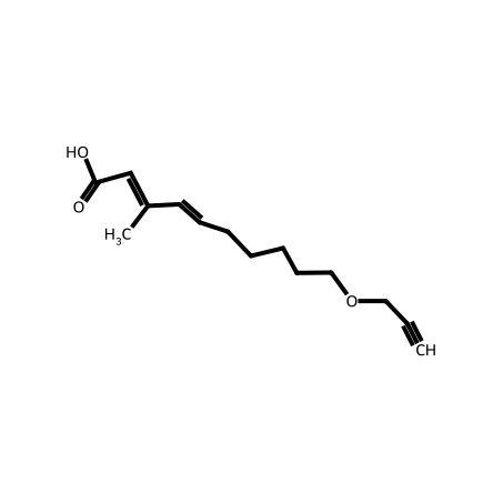 C#CCOCCCCC/C=C/C(C)=C/C(=O)O